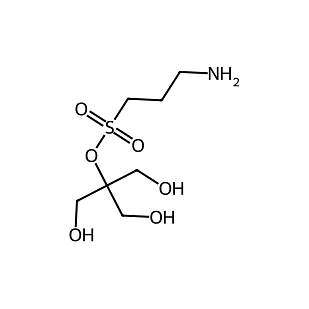 NCCCS(=O)(=O)OC(CO)(CO)CO